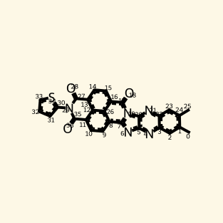 Cc1cc2nc3nc4c5ccc6c7c(ccc(c(=O)n4c3nc2cc1C)c75)C(=O)N(c1cccs1)C6=O